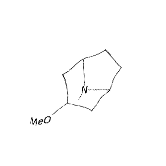 COC1CC2CCC(C1)N2C